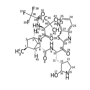 C[C@H]1C[C@@H]2C[C@H]1[C@@H](C(=O)N[C@@H](C[C@@H]1CCNC1O)C(=O)c1nc3cccnc3s1)N2C(=O)[C@@H](NC(=O)C(F)(F)F)C(C)(C)C